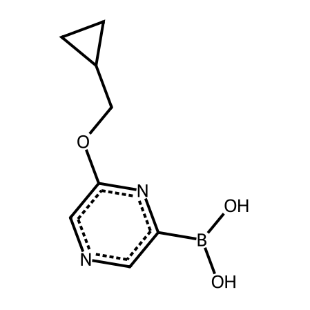 OB(O)c1cncc(OCC2CC2)n1